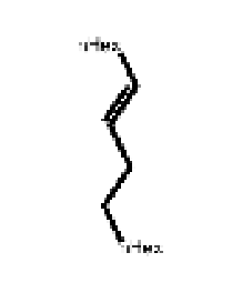 CCCCCCC=CCCCCCCCC